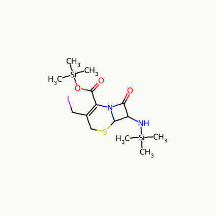 C[Si](C)(C)NC1C(=O)N2C(C(=O)O[Si](C)(C)C)=C(CI)CSC12